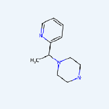 CC(c1ccccn1)N1CC[N]CC1